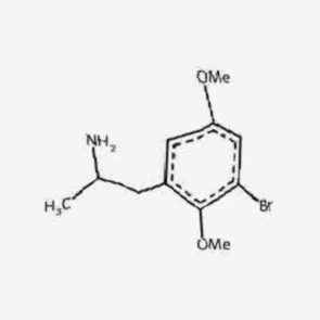 COc1cc(Br)c(OC)c(CC(C)N)c1